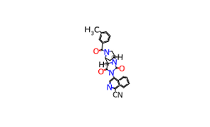 Cc1cccc(C(=O)N2C[C@H]3CC2[C@H]2C(=O)N(c4cnc(C#N)c5ccccc45)C(=O)N32)c1